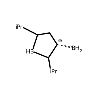 B[C@H]1CC(C(C)C)BC1C(C)C